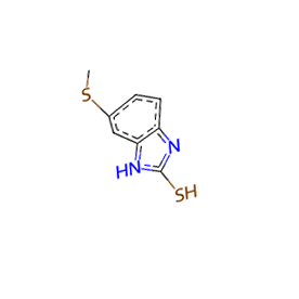 CSc1ccc2nc(S)[nH]c2c1